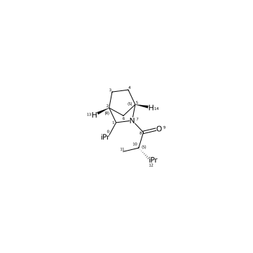 CC(C)C1[C@@H]2CC[C@@H](C2)N1C(=O)[C@@H](C)C(C)C